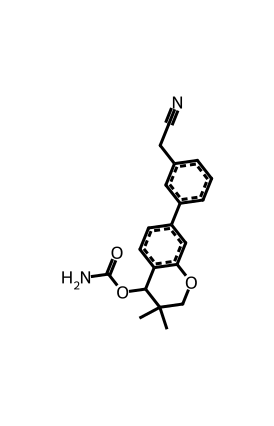 CC1(C)COc2cc(-c3cccc(CC#N)c3)ccc2C1OC(N)=O